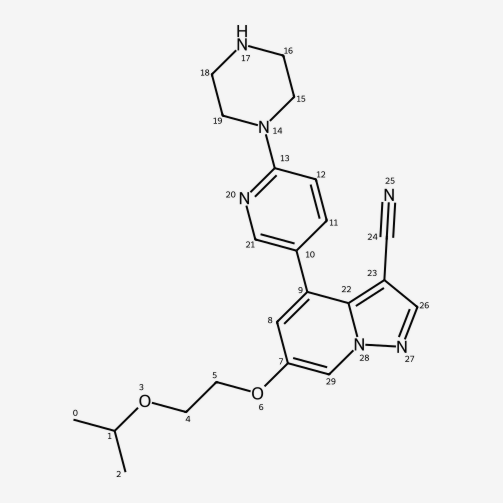 CC(C)OCCOc1cc(-c2ccc(N3CCNCC3)nc2)c2c(C#N)cnn2c1